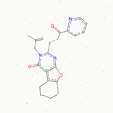 C=C(C)Cn1c(SCC(=O)c2ccccn2)nc2oc3c(c2c1=O)CCCC3